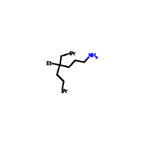 CCC(CCCN)(CCC(C)C)CC(C)C